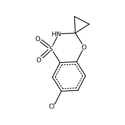 O=S1(=O)NC2(CC2)Oc2ccc(Cl)cc21